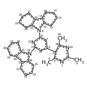 Cc1nc(C)c(-c2cc(-n3c4ccccc4c4ccccc43)nc(-n3c4ccccc4c4ccccc43)c2)c(C)n1